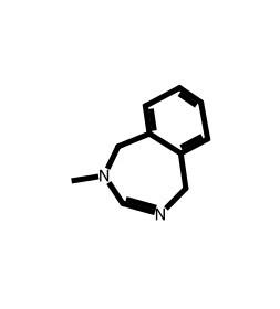 CN1C=NCc2ccccc2C1